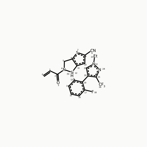 C=CC(=O)N1Cc2sc(C#N)cc2[Si@@H]1c1cccc(F)c1-c1cn(CC)nc1C(F)(F)F